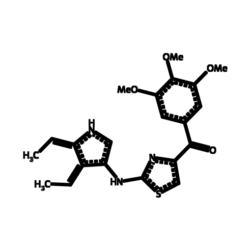 C/C=c1/c(Nc2nc(C(=O)c3cc(OC)c(OC)c(OC)c3)cs2)c[nH]/c1=C/C